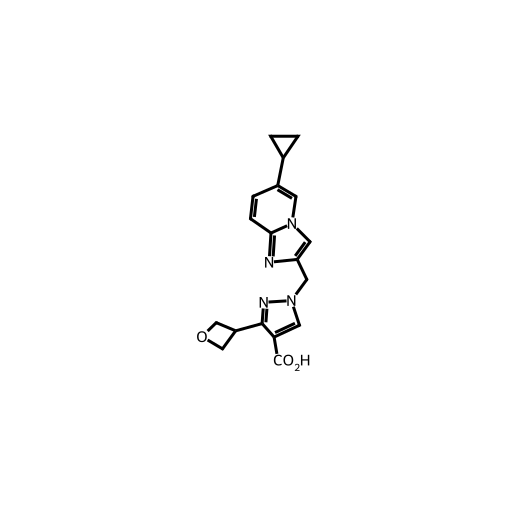 O=C(O)c1cn(Cc2cn3cc(C4CC4)ccc3n2)nc1C1COC1